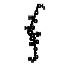 [2H]SCC1c2cc(NC(=O)CCCC(=O)NCCOCCCC)ccc2-c2ccc(C(=O)NCCOCCCOC)cc21